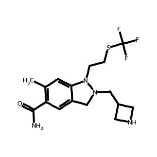 Cc1cc2c(cc1C(N)=O)CN(CC1CNC1)N2CCSC(F)(F)F